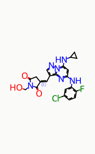 O=C1C/C(=C\c2cnn3c(NC4CC4)cc(Nc4cc(Cl)ccc4F)nc23)C(=O)N1CO